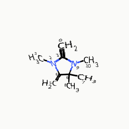 C=C1N(C)C(=C)C(C)(C)N1C